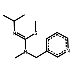 CSC(=NC(C)C)N(C)Cc1cccnc1